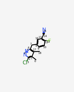 Cc1c(Cl)nnc(Cc2ccc(F)c(C#N)c2)c1C